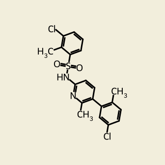 Cc1ccc(Cl)cc1-c1ccc(NS(=O)(=O)c2cccc(Cl)c2C)nc1C